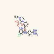 CN1CCCN(c2cccc(CNc3ccc(Cl)cc3C(=O)Nc3ccc(C(=N)N)cc3)c2OCC(=O)O)CC1